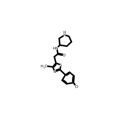 Cc1nc(-c2ccc(Cl)cc2)sc1CC(=O)NC1CCCNC1